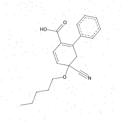 CCCCCOC1(C#N)C=CC(C(=O)O)=C(c2ccccc2)C1